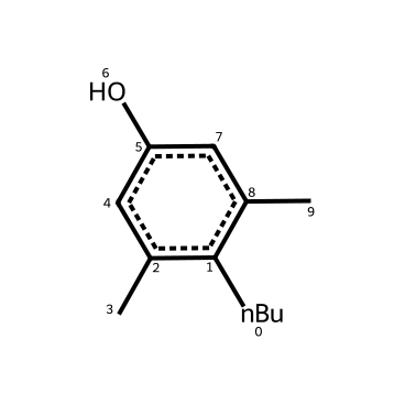 CCCCc1c(C)cc(O)cc1C